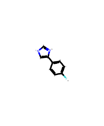 Fc1ccc(C2=C[N]C=N2)cc1